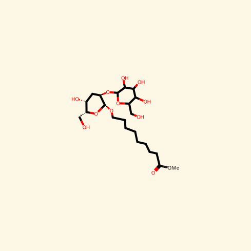 COC(=O)CCCCCCCCO[C@H]1O[C@H](CO)[C@H](O)C[C@H]1OC1OC(CO)C(O)C(O)C1O